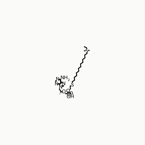 CCS(C)(C)CCCCCCCCCCCCCCSCCOP(=O)(O)CO[C@H](C)Cn1cnc2c(N)ncnc21